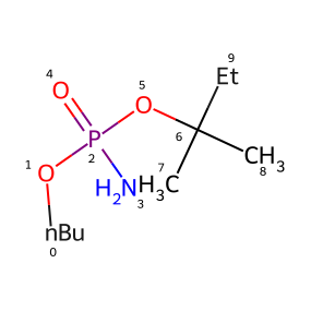 CCCCOP(N)(=O)OC(C)(C)CC